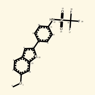 COc1ccc2cc(-c3ccc(NS(=O)(=O)C(F)(F)F)cc3)sc2c1